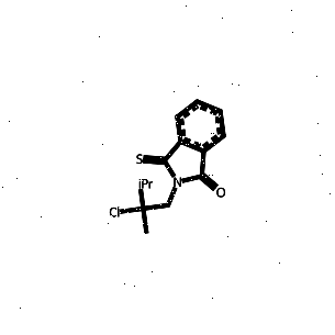 CC(C)C(C)(Cl)CN1C(=O)c2ccccc2C1=S